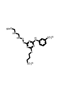 COCNCNOSc1nc(Nc2cccc(S(=O)(=O)O)c2)nc(SCCCS(=O)(=O)O)n1